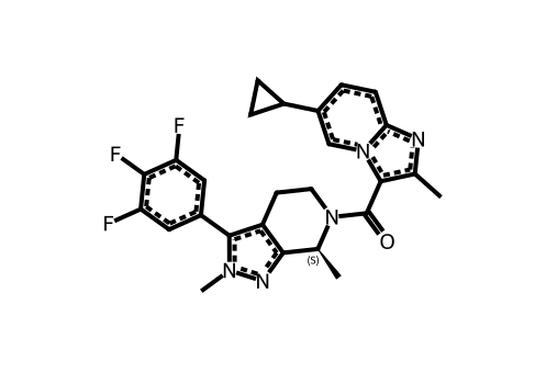 Cc1nc2ccc(C3CC3)cn2c1C(=O)N1CCc2c(nn(C)c2-c2cc(F)c(F)c(F)c2)[C@@H]1C